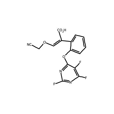 N#CCOC=C(C(=O)O)c1ccccc1Oc1nc(F)nc(F)c1F